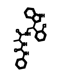 CC(NC(=O)Nc1ccccc1)C(=O)NCC(c1ccccc1Cl)c1c[nH]c2ccccc12